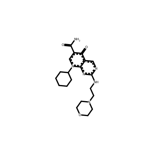 NC(=O)c1cn(C2CCCCC2)c2nc(NCCN3CCOCC3)ncc2c1=O